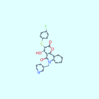 O=c1oc2c(c(O)c1Sc1ccc(F)cc1)c(=O)n(Cc1cccnc1)c1ccccc21